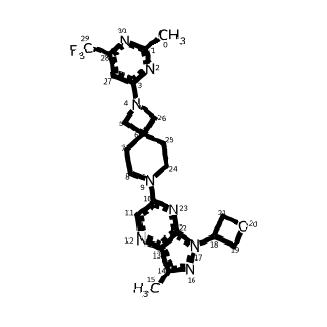 Cc1nc(N2CC3(CCN(c4cnc5c(C)nn(C6COC6)c5n4)CC3)C2)cc(C(F)(F)F)n1